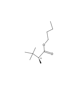 CCCCOC(=O)[C@@H](C)C(C)(C)C